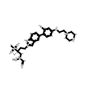 C[C@](CCn1cc2cc(-c3ccc(OCCN4CCOCC4)cc3F)ccc2n1)(CN(O)C=O)S(C)(=O)=O